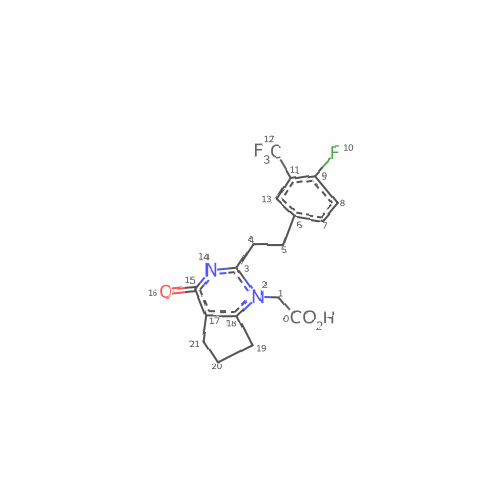 O=C(O)Cn1c(CCc2ccc(F)c(C(F)(F)F)c2)nc(=O)c2c1CCC2